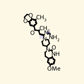 C=C(/C=C(\N=C/N)N1CCC(N2CCc3cc(OC)ccc3NC2=O)CC1)C(=O)c1cc(C)c2c(c1)OCCO2